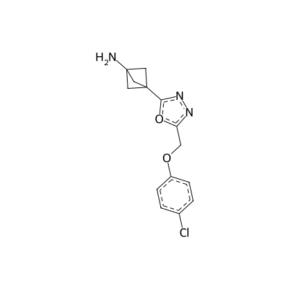 NC12CC(c3nnc(COc4ccc(Cl)cc4)o3)(C1)C2